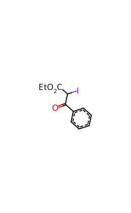 CCOC(=O)C(I)C(=O)c1ccccc1